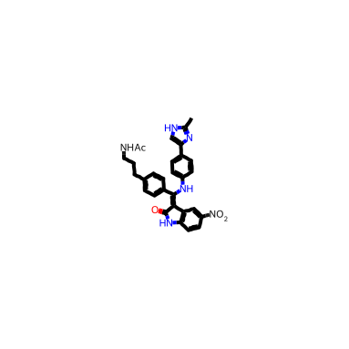 CC(=O)NCCCc1ccc(C(Nc2ccc(-c3c[nH]c(C)n3)cc2)=C2C(=O)Nc3ccc([N+](=O)[O-])cc32)cc1